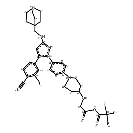 N#Cc1ccc(-c2cc(NCC34CCN(CC3)CC4)nn2-c2ccc(N3CCC(OCC(=O)OC(=O)C(F)(F)F)CC3)cc2)cc1F